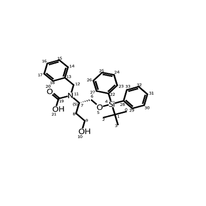 CC(C)(C)[Si](OC[C@H](CCO)N(Cc1ccccc1)C(=O)O)(c1ccccc1)c1ccccc1